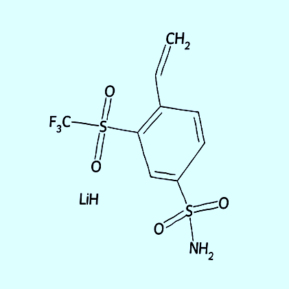 C=Cc1ccc(S(N)(=O)=O)cc1S(=O)(=O)C(F)(F)F.[LiH]